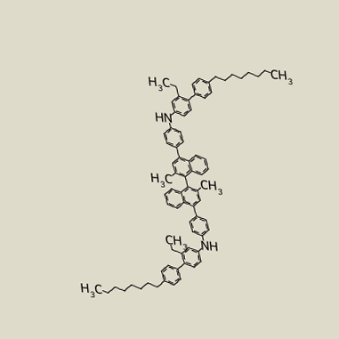 CCCCCCCCc1ccc(-c2ccc(Nc3ccc(-c4cc(C)c(-c5c(C)cc(-c6ccc(Nc7ccc(-c8ccc(CCCCCCCC)cc8)c(CC)c7)cc6)c6ccccc56)c5ccccc45)cc3)cc2CC)cc1